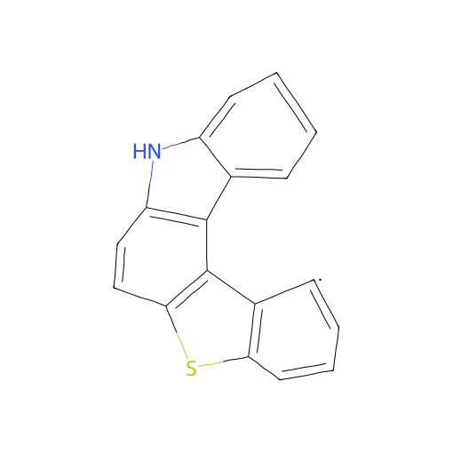 [c]1cccc2sc3ccc4[nH]c5ccccc5c4c3c12